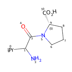 CC(C)C(N)C(=O)N1CCC[C@H]1C(=O)O